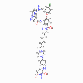 O=C1CCC(Nc2ccc(N3CCN(CCCCCCCCNC(=O)c4ccc5c(c4)NC(=O)c4cnn6ccc(nc46)NCc4cc(F)ccc4O5)CC3)cc2)C(=O)N1